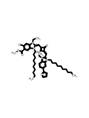 CCCCCCCCCCN1/C(=C\C2=C(O)C(=C\c3n(CC)c4ccc(-c5cccs5)cc4[n+]3CCCCCCCCCC)/C2=O)N(CC)c2cc(Cl)c(C(=O)OC)cc21